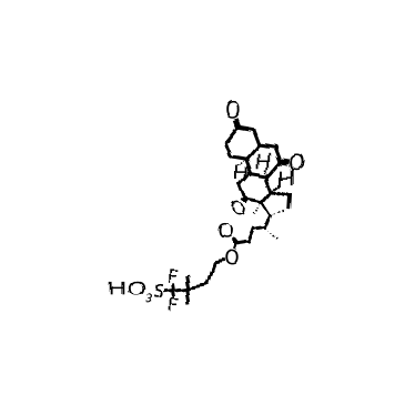 C[C@H](CCC(=O)OCCC(C)(C)C(F)(F)S(=O)(=O)O)[C@H]1CC[C@H]2[C@@H]3C(=O)CC4CC(=O)CC[C@]4(C)[C@@H]3CC(=O)[C@]12C